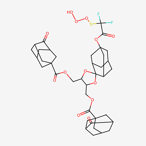 O=C1C2CC3CC1CC(C(=O)OCC1OC4(OC1COC(=O)C15CC6CC(C1)C(=O)C(C6)C5)C1CC5CC4CC(OC(=O)C(F)(F)SOOO)(C5)C1)(C3)C2